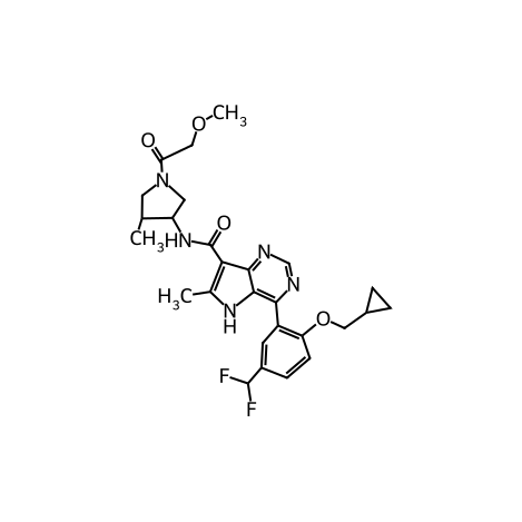 COCC(=O)N1CC(C)C(NC(=O)c2c(C)[nH]c3c(-c4cc(C(F)F)ccc4OCC4CC4)ncnc23)C1